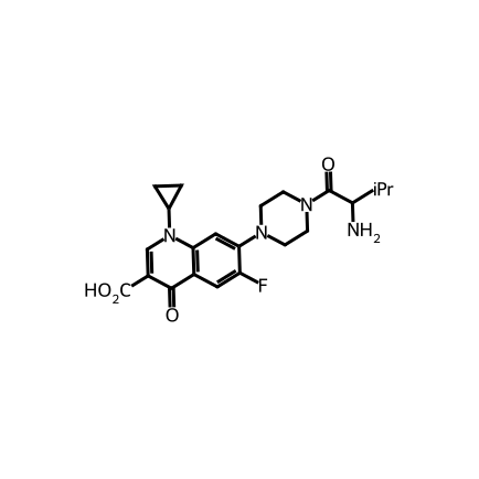 CC(C)C(N)C(=O)N1CCN(c2cc3c(cc2F)c(=O)c(C(=O)O)cn3C2CC2)CC1